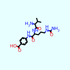 CC(C)C(N)C(=O)NC(CCCNC(N)=O)C(=O)Nc1ccc(C(=O)O)cc1